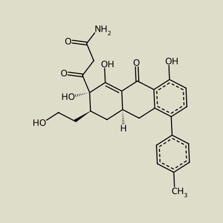 Cc1ccc(-c2ccc(O)c3c2C[C@H]2C[C@@H](CCO)[C@@](O)(C(=O)CC(N)=O)C(O)=C2C3=O)cc1